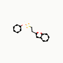 O=S(=O)(CCc1cc2ccccc2o1)Oc1ccccc1